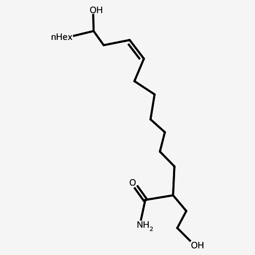 CCCCCCC(O)C/C=C\CCCCCCC(CCO)C(N)=O